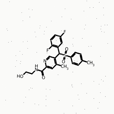 Cc1ccc(S(=O)(=O)C(c2cnc(C(=O)NCCO)cc2C)c2cc(F)ccc2F)cc1